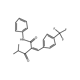 CC(C)C(=O)C(=Cc1ccc(C(F)(F)F)cc1)C(=O)Nc1ccccc1